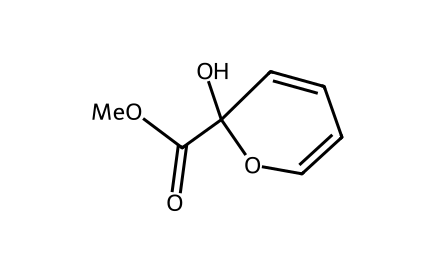 COC(=O)C1(O)C=CC=CO1